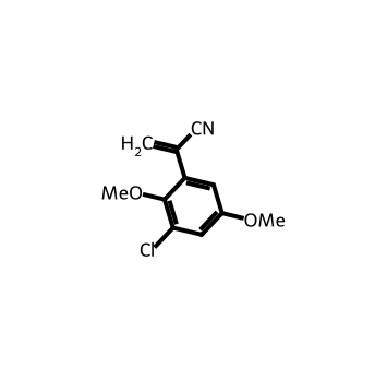 C=C(C#N)c1cc(OC)cc(Cl)c1OC